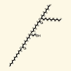 CCCCCCCCCCCOC(=O)CCCCCCCN(CCO)CCCCCCCC(=O)OC(CCCCCCCC)CCCCCCCCCC